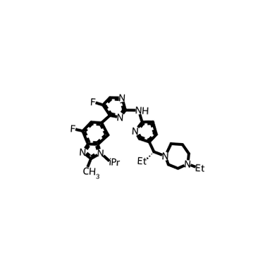 CC[C@H](c1ccc(Nc2ncc(F)c(-c3cc(F)c4nc(C)n(C(C)C)c4c3)n2)nc1)N1CCCN(CC)CC1